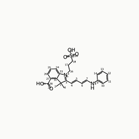 CC1(C)C(/C=C/C=C/Nc2ccccc2)=[N+](CCCS(=O)(=O)O)c2cccc(C(=O)O)c21